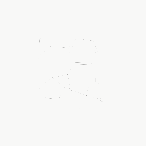 CC(C)(C)N1C2CCC(C2)C1c1ccccc1C1CC1